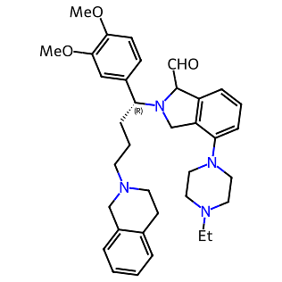 CCN1CCN(c2cccc3c2CN([C@H](CCCN2CCc4ccccc4C2)c2ccc(OC)c(OC)c2)C3C=O)CC1